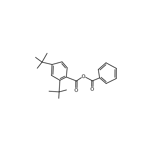 CC(C)(C)c1ccc(C(=O)OC(=O)c2ccccc2)c(C(C)(C)C)c1